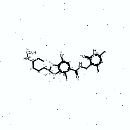 Cc1cc(C)c(CNC(=O)c2cc(Br)c3c(c2C)O[C@@](C)([C@H]2CC[C@H](NC(=O)O)CC2)O3)c(=O)[nH]1